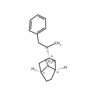 CN(Cc1ccccc1)[C@@H]1C[C@H]2CC[C@@H](C1)N2C(=O)O